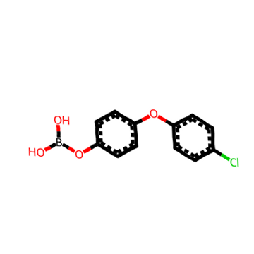 OB(O)Oc1ccc(Oc2ccc(Cl)cc2)cc1